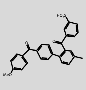 COc1ccc(C(=O)c2ccc(-c3ccc(C)cc3C(=O)c3cccc(S(=O)(=O)O)c3)cc2)cc1